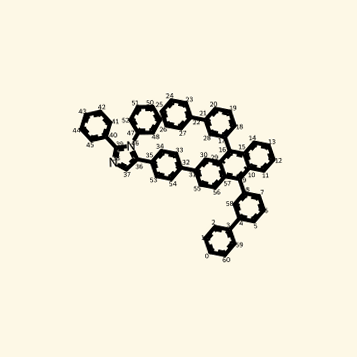 c1ccc(-c2cccc(-c3c4ccccc4c(-c4cccc(-c5ccccc5)c4)c4cc(-c5ccc(-c6cnc(-c7ccccc7)n6-c6ccccc6)cc5)ccc34)c2)cc1